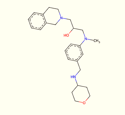 CN(CC(O)CN1CCc2ccccc2C1)c1cccc(CNC2CCOCC2)c1